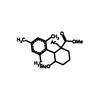 COC(=O)C1(C(C)=O)CCCC(OC)C1c1c(C)cc(C)cc1C